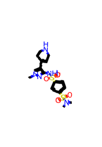 CN(C)S(=O)(=O)c1ccc(S(=O)(=O)Nc2nn(C)cc2C2=CCNCC2)cc1